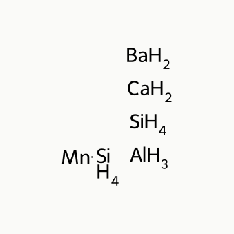 [AlH3].[BaH2].[CaH2].[Mn].[SiH4].[SiH4]